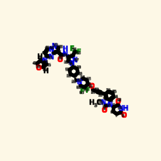 Cn1c(=O)n(C2CCC(=O)NC2=O)c2cccc(C#CCOC3CCN(C[C@H]4CC[C@H](n5cc(NC(=O)c6cnn7ccc(N8C[C@H]9C[C@@H]8CO9)nc67)c(C(F)F)n5)CC4)CC3(F)F)c21